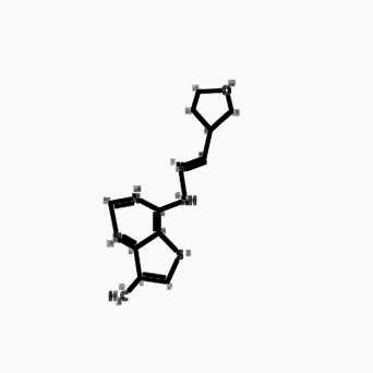 Cc1csc2c(NN=CC3CCOC3)ncnc12